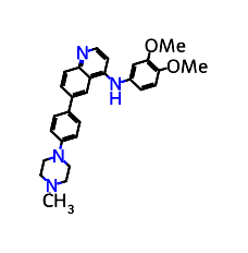 COc1ccc(Nc2ccnc3ccc(-c4ccc(N5CCN(C)CC5)cc4)cc23)cc1OC